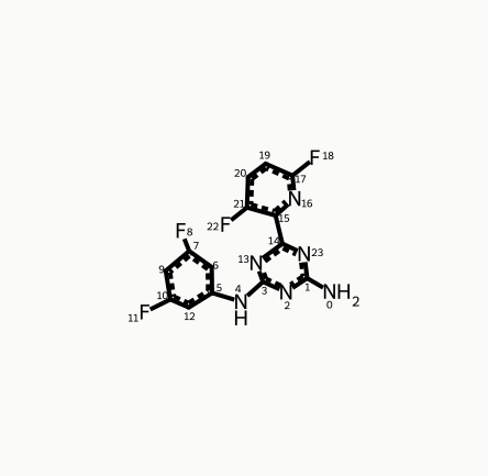 Nc1nc(Nc2cc(F)cc(F)c2)nc(-c2nc(F)ccc2F)n1